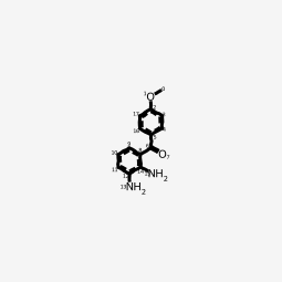 COc1ccc(C(=O)c2cccc(N)c2N)cc1